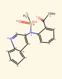 COC(=O)c1ccccc1N(c1cnc2ccccc2c1)S(C)(=O)=O